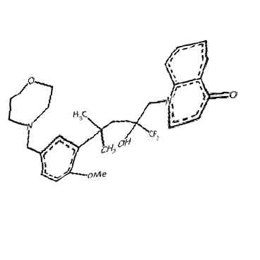 COc1ccc(CN2CCOCC2)cc1C(C)(C)CC(O)(Cn1ccc(=O)c2ccccc21)C(F)(F)F